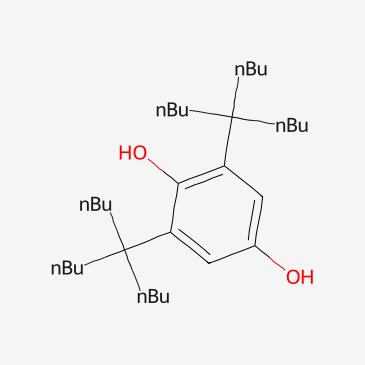 CCCCC(CCCC)(CCCC)c1cc(O)cc(C(CCCC)(CCCC)CCCC)c1O